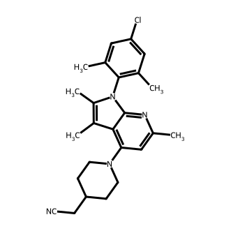 Cc1cc(N2CCC(CC#N)CC2)c2c(C)c(C)n(-c3c(C)cc(Cl)cc3C)c2n1